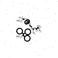 C=C(C)C(=O)O.C=C(C)C(=O)OC(C)OCCOC12CC3CC(CC(C3)C1)C2.O=C(O)C(=C(C1CCCCCCCCC1)C1CCCCCCCCC1)C1CCCCCCCCC1